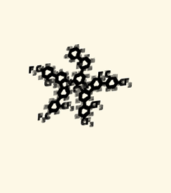 N#Cc1c(-n2c3ccc(-c4ccc(C(F)(F)F)cc4C(F)(F)F)cc3c3cc(-c4ccc(C(F)(F)F)cc4C(F)(F)F)ccc32)cc(-c2cccc(-c3ccccc3)n2)cc1-n1c2ccc(-c3ccc(C(F)(F)F)cc3C(F)(F)F)cc2c2cc(-c3ccc(C(F)(F)F)cc3C(F)(F)F)ccc21